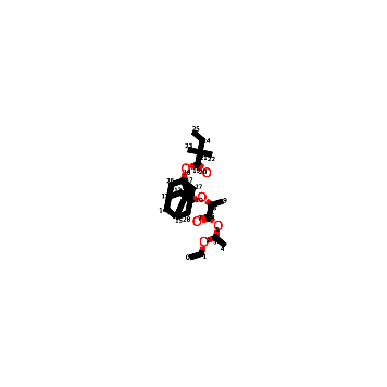 CCOC(C)OC(=O)C(C)OC12CC3CC(CC(OC(=O)C(C)(C)CC)(C3)C1)C2